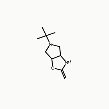 C=C1NC2CN(C(C)(C)C)CC2O1